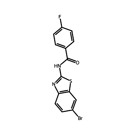 O=C(Nc1nc2ccc(Br)cc2s1)c1ccc(F)cc1